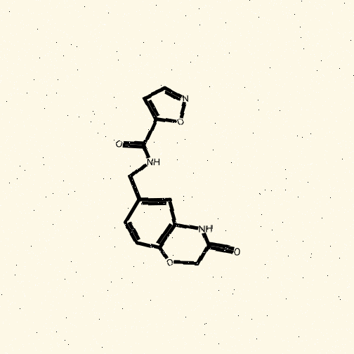 O=C1COc2ccc(CNC(=O)c3ccno3)cc2N1